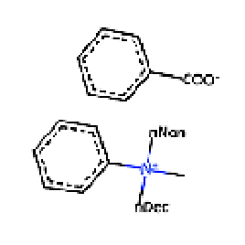 CCCCCCCCCC[N+](C)(CCCCCCCCC)c1ccccc1.O=C([O-])c1ccccc1